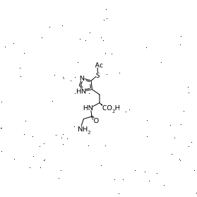 CC(=O)Sc1nc[nH]c1C[C@H](NC(=O)CN)C(=O)O